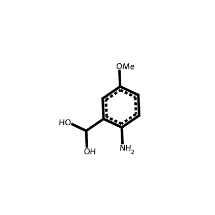 COc1ccc(N)c(C(O)O)c1